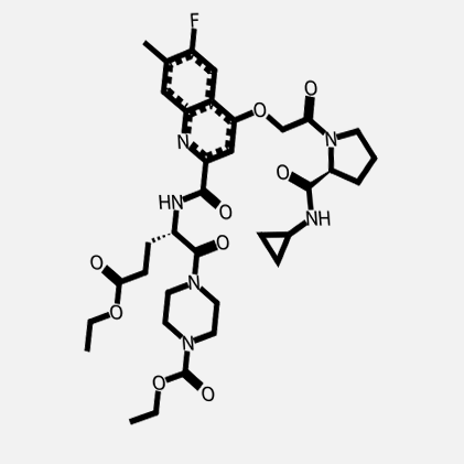 CCOC(=O)CC[C@H](NC(=O)c1cc(OCC(=O)N2CCC[C@H]2C(=O)NC2CC2)c2cc(F)c(C)cc2n1)C(=O)N1CCN(C(=O)OCC)CC1